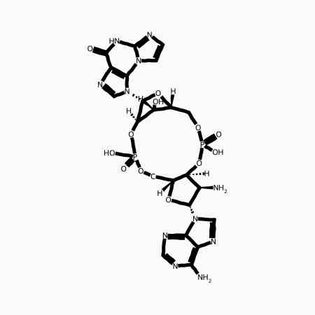 Nc1ncnc2c1ncn2[C@@H]1O[C@@H]2COP(=O)(O)O[C@@H]3[C@H](O)[C@@H](COP(=O)(O)O[C@H]2[C@H]1N)O[C@H]3n1cnc2c(=O)[nH]c3nccn3c21